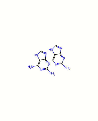 Nc1nc(N)c2[nH]cnc2n1.Nc1ncc2[nH]cnc2n1